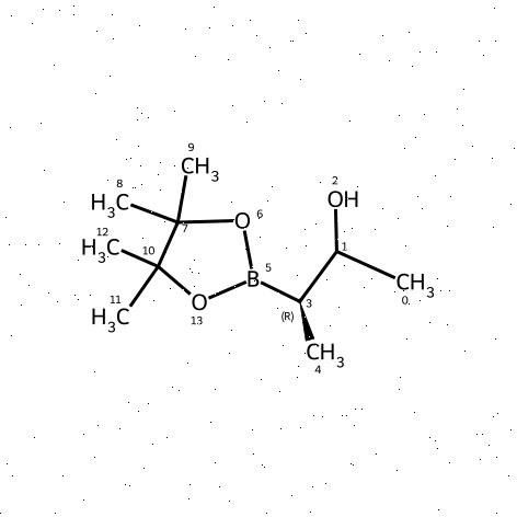 CC(O)[C@@H](C)B1OC(C)(C)C(C)(C)O1